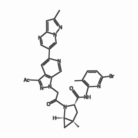 CC(=O)c1nn(CC(=O)N2[C@H](C(=O)Nc3nc(Br)ccc3C)C[C@@]3(C)C[C@@H]23)c2cnc(-c3cnc4cc(C)nn4c3)cc12